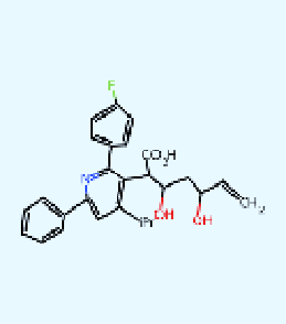 C=CC(O)CC(O)C(C(=O)O)c1c(C(C)C)cc(-c2ccccc2)nc1-c1ccc(F)cc1